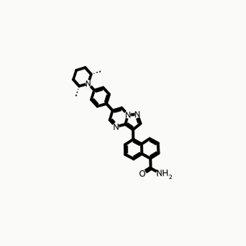 C[C@@H]1CCC[C@H](C)N1c1ccc(-c2cnc3c(-c4cccc5c(C(N)=O)cccc45)cnn3c2)cc1